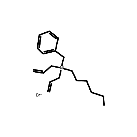 C=CC[N+](CC=C)(CCCCCC)Cc1ccccc1.[Br-]